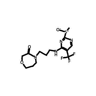 C[S+]([O-])c1ncc(C(F)(F)F)c(NCCCN2CCCOCC2=O)n1